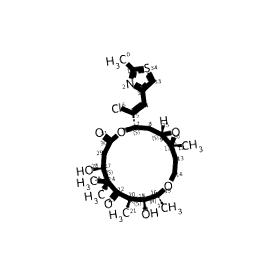 Cc1nc(C=C(Cl)[C@@H]2C[C@@H]3O[C@]3(C)CCO[C@H](C)[C@@H](O)[C@@H](C)C(=O)C(C)(C)[C@@H](O)CC(=O)O2)cs1